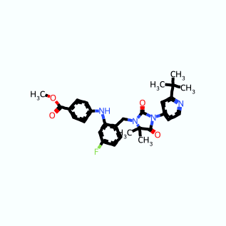 COC(=O)c1ccc(Nc2cc(F)ccc2CN2C(=O)N(c3ccnc(C(C)(C)C)c3)C(=O)C2(C)C)cc1